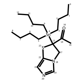 CCC[CH2][Sn]([CH2]CCC)([CH2]CCC)[C]1(C(C)=O)Cn2cncc2S1